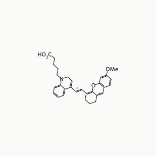 COc1ccc2c(c1)OC1=C(/C=C/C3=CCN(CCCCC(=O)O)c4ccccc43)CCCC1=C2